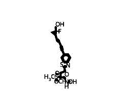 CC(CCc1nc2ccc(C#CC#CC3C[C@]3(F)CO)cc2s1)(C(=O)NO)S(C)(=O)=O